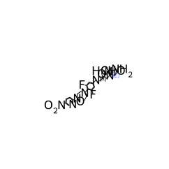 C=NN(/C=C\N)C[C@@H](CNc1cc(F)c(N2CCON(c3ccc([N+](=O)[O-])cn3)CC2)c(F)c1)OC=O